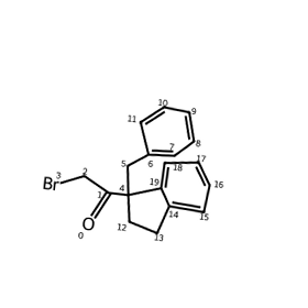 O=C(CBr)C1(Cc2ccccc2)CCc2ccccc21